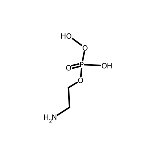 NCCOP(=O)(O)OO